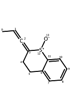 CC=C=C1CCc2ccccc2[S+]1[O-]